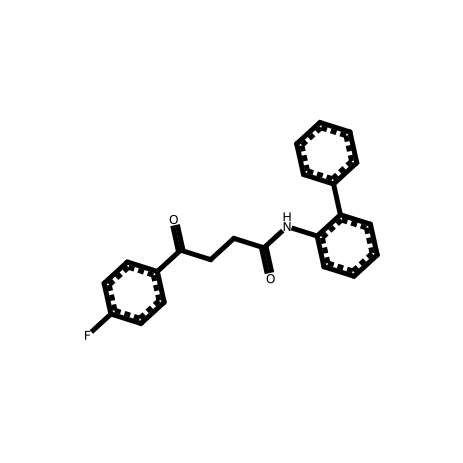 O=C(CCC(=O)c1ccc(F)cc1)Nc1ccccc1-c1ccccc1